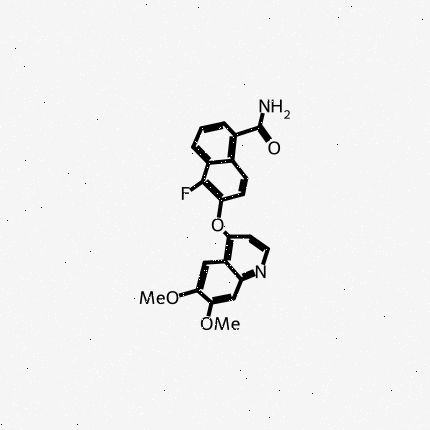 COc1cc2nccc(Oc3ccc4c(C(N)=O)cccc4c3F)c2cc1OC